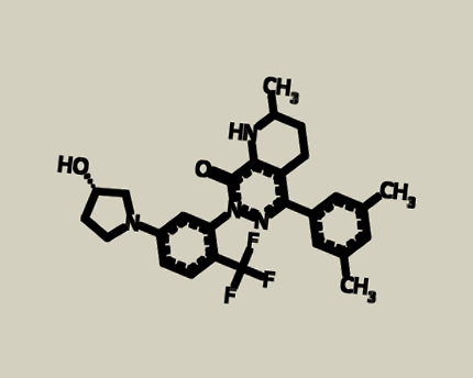 Cc1cc(C)cc(-c2nn(-c3cc(N4CC[C@H](O)C4)ccc3C(F)(F)F)c(=O)c3c2CCC(C)N3)c1